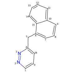 c1cnnc(Cc2cccc3ccccc23)c1